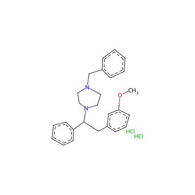 COc1cccc(CC(c2ccccc2)N2CCN(Cc3ccccc3)CC2)c1.Cl.Cl